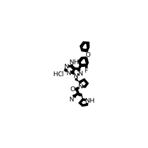 Cl.N#C/C(=C\[C@@H]1CCCN1)C(=O)N1CCC[C@@H]1Cn1nc(-c2ccc(Oc3ccccc3)cc2F)c2c(N)ncnc21